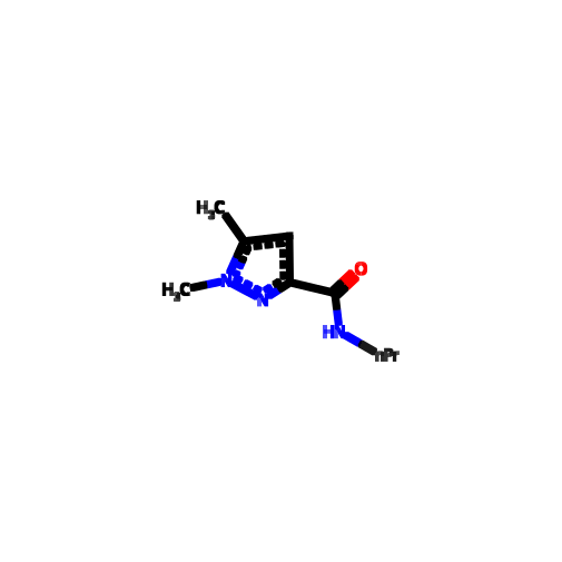 CCCNC(=O)c1cc(C)n(C)n1